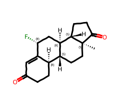 C[C@]12CC[C@H]3[C@@H](C[C@@H](F)C4=CC(=O)CC[C@@H]43)[C@@H]1CCC2=O